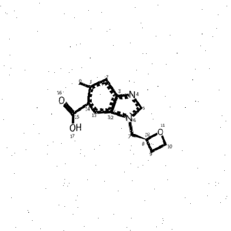 Cc1cc2ncn(C[C@@H]3CCO3)c2cc1C(=O)O